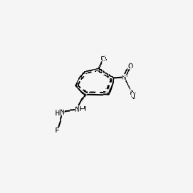 O=[N+]([O-])c1cc(NNF)ccc1Cl